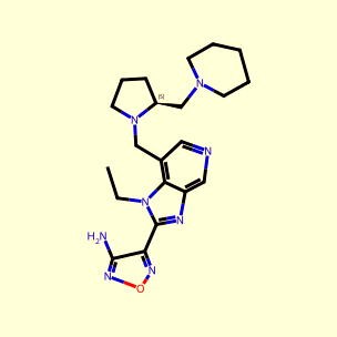 CCn1c(-c2nonc2N)nc2cncc(CN3CCC[C@H]3CN3CCCCC3)c21